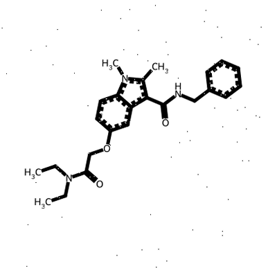 CCN(CC)C(=O)COc1ccc2c(c1)c(C(=O)NCc1ccccc1)c(C)n2C